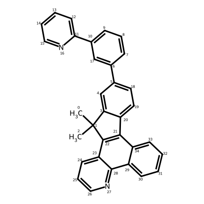 CC1(C)c2cc(-c3cccc(-c4ccccn4)c3)ccc2-c2c1c1cccnc1c1ccccc21